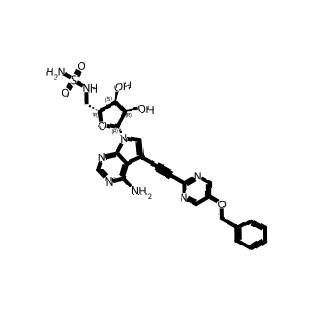 Nc1ncnc2c1c(C#Cc1ncc(OCc3ccccc3)cn1)cn2[C@@H]1O[C@H](CNS(N)(=O)=O)[C@@H](O)[C@H]1O